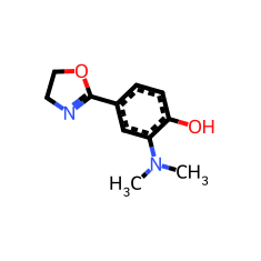 CN(C)c1cc(C2=NCCO2)ccc1O